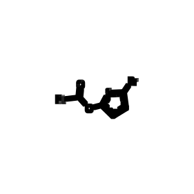 CCC(=O)Oc1ccc(Br)s1